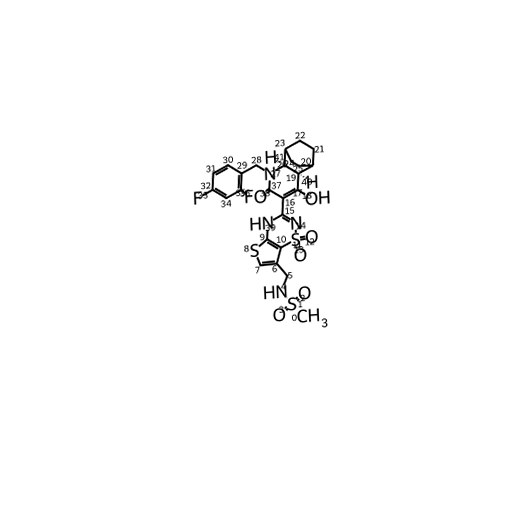 CS(=O)(=O)NCc1csc2c1S(=O)(=O)N=C(C1=C(O)[C@@H]3C4CCC(CC4)[C@@H]3N(Cc3ccc(F)cc3F)C1=O)N2